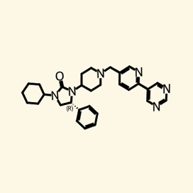 O=C1N(C2CCCCC2)C[C@@H](c2ccccc2)N1C1CCN(Cc2ccc(-c3cncnc3)nc2)CC1